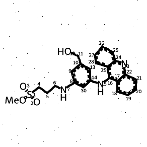 COS(=O)(=O)CCCNc1cc(CO)cc(Nc2c3ccccc3nc3ccccc23)c1